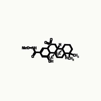 CONC(=O)C1=CC2C(C(O)=C1)[C@]1(C)CC[C@H]3C(C)(C)CCC[C@]3(C)[C@H]1CS2(=O)=O